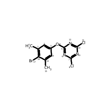 Cc1cc(Oc2nc(Cl)nc(Cl)n2)cc(C)c1Br